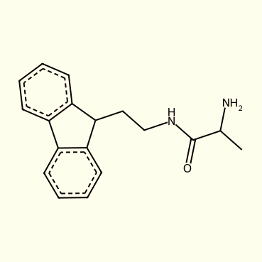 CC(N)C(=O)NCCC1c2ccccc2-c2ccccc21